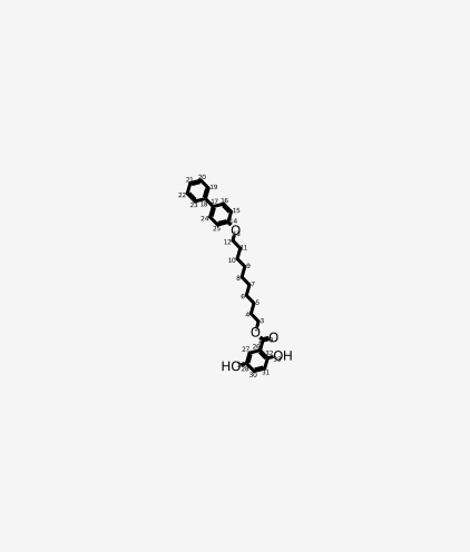 O=C(OCCCCCCCCCCOc1ccc(-c2ccccc2)cc1)c1cc(O)ccc1O